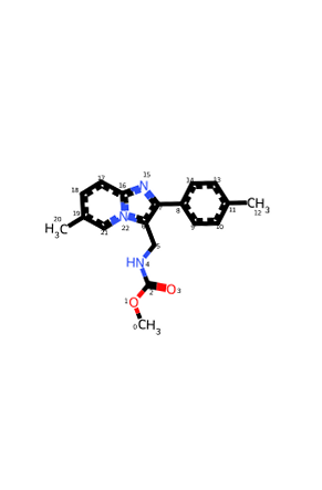 COC(=O)NCc1c(-c2ccc(C)cc2)nc2ccc(C)cn12